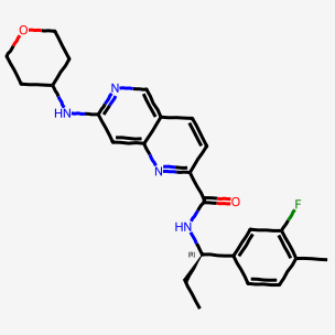 CC[C@@H](NC(=O)c1ccc2cnc(NC3CCOCC3)cc2n1)c1ccc(C)c(F)c1